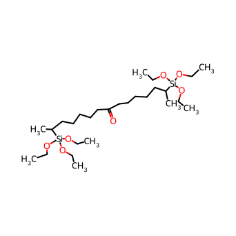 CCO[Si](OCC)(OCC)C(C)CCCCCC(=O)CCCCCC(C)[Si](OCC)(OCC)OCC